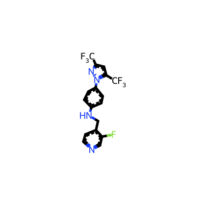 Fc1cnccc1CNc1ccc(-n2nc(C(F)(F)F)cc2C(F)(F)F)cc1